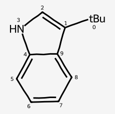 [CH2]C(C)(C)c1c[nH]c2ccccc12